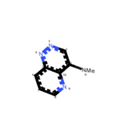 CNc1cnnc2cccnc12